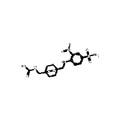 NS(=O)(=O)c1ccc(NCC23CCC(CNC(=O)O)(CC2)CC3)c([N+](=O)[O-])c1